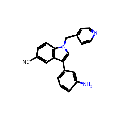 N#Cc1ccc2c(c1)c(-c1cccc(N)c1)cn2Cc1ccncc1